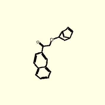 O=C(COC1CC2C=CC1C2)c1ccc2ccccc2c1